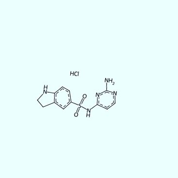 Cl.Nc1nccc(NS(=O)(=O)c2ccc3c(c2)CCN3)n1